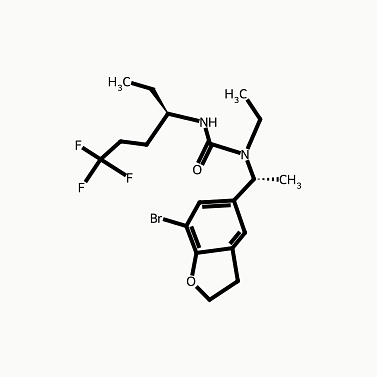 CC[C@H](CCC(F)(F)F)NC(=O)N(CC)[C@H](C)c1cc(Br)c2c(c1)CCO2